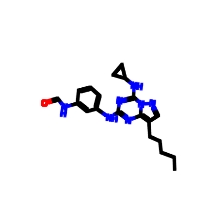 CCCCCc1cnn2c(NC3CC3)nc(Nc3cccc(NC=O)c3)nc12